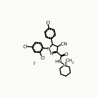 C[N+]1(NC(=O)C2=NN(c3ccc(Cl)cc3Cl)C(c3ccc(Cl)cc3)C2C#N)CCCCC1.[I-]